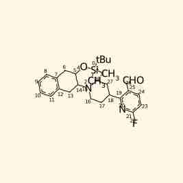 CC(C)(C)[Si](C)(C)OC1Cc2ccccc2CC1N1CCC(c2nc(F)ccc2C=O)CC1